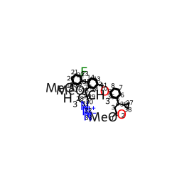 COC(=O)CC(c1cccc(OCc2ccc(-c3cc(OC)ccc3F)c(C(OC)C(C)(C)CN=[N+]=[N-])c2)c1)C1CC1